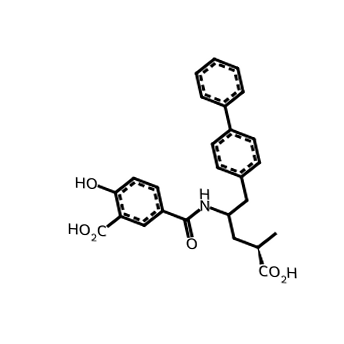 C[C@H](CC(Cc1ccc(-c2ccccc2)cc1)NC(=O)c1ccc(O)c(C(=O)O)c1)C(=O)O